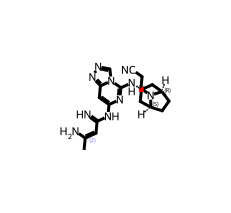 C/C(N)=C/C(=N)Nc1cc2nncn2c(N[C@@H]2C[C@H]3CC[C@@H](C2)N3CCC#N)n1